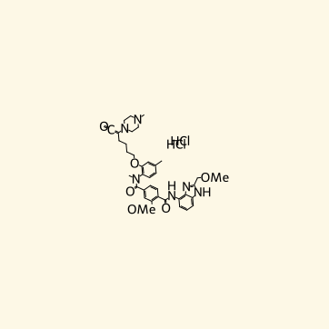 COCc1nc2c(NC(=O)c3ccc(C(=O)N(C)c4ccc(C)cc4OCCCCC(=C=O)N4CCN(C)CC4)cc3OC)cccc2[nH]1.Cl.Cl